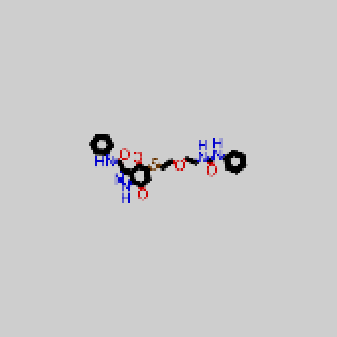 O=C(NCCOCCSC1=CC(=O)c2[nH]nc(C(=O)Nc3ccccc3)c2C1=O)Nc1ccccc1